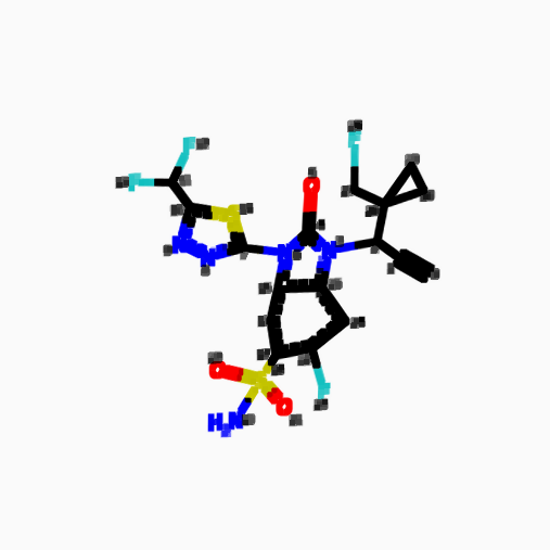 C#CC(n1c(=O)n(-c2nnc(C(F)F)s2)c2cc(S(N)(=O)=O)c(F)cc21)C1(CF)CC1